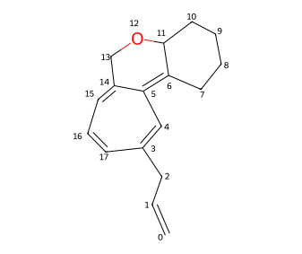 C=CCC1=CC2=C3CCCCC3OCC2=CC=C1